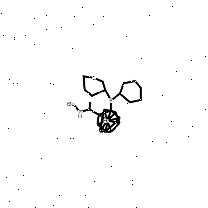 CC(PC(C)(C)C)[C]12[CH]3[CH]4[CH]5[C]1(P(C1CCCCC1)C1CCCCC1)[Fe]43521678[CH]2[CH]1[CH]6[CH]7[CH]28